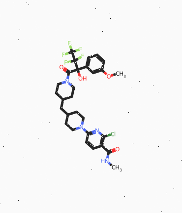 CNC(=O)c1ccc(N2CCC(CC3CCN(C(=O)C(O)(c4cccc(OC)c4)C(F)(F)C(F)(F)F)CC3)CC2)nc1Cl